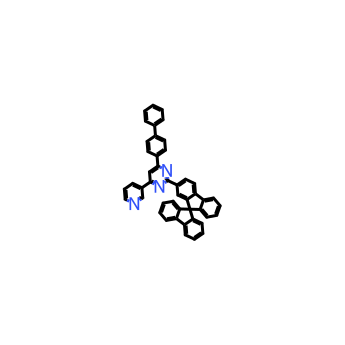 c1ccc(-c2ccc(-c3cc(-c4cccnc4)nc(-c4ccc5c(c4)C4(c6ccccc6-c6ccccc64)c4ccccc4-5)n3)cc2)cc1